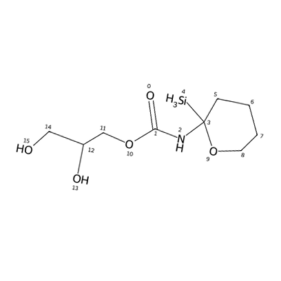 O=C(NC1([SiH3])CCCCO1)OCC(O)CO